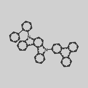 c1ccc(-c2ccccc2-n2c3ccccc3c3c4c5ccccc5n(-c5ccc6c7ccccc7c7ccccc7c6c5)c4ccc32)cc1